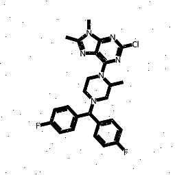 Cc1nc2c(N3CCN(C(c4ccc(F)cc4)c4ccc(F)cc4)CC3C)nc(Cl)nc2n1C